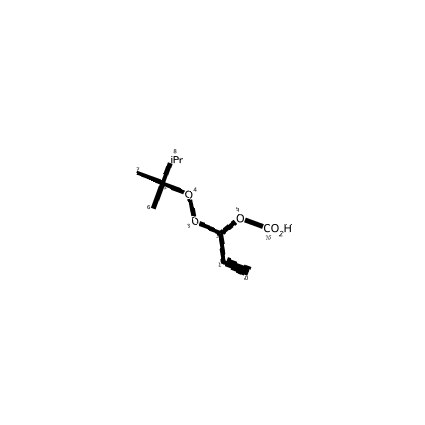 C=CC(OOC(C)(C)C(C)C)OC(=O)O